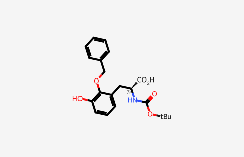 CC(C)(C)OC(=O)N[C@@H](Cc1cccc(O)c1OCc1ccccc1)C(=O)O